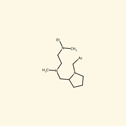 CCN(C)CCN(C)CC1CCCN1CC(C)=O